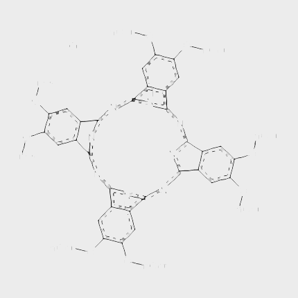 CCCCCCCCOc1cc2c(cc1OCCCCCCCC)-c1nc-2nc2[nH]c(nc3nc(nc4[nH]c(n1)c1cc(OCCCCCCCC)c(OCCCCCCCC)cc41)-c1cc(OCCCCCCCC)c(OCCCCCCCC)cc1-3)c1cc(OCCCCCCCC)c(OCCCCCCCC)cc21.[Cu+2]